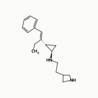 CC/C(=C\c1ccccc1)[C@@H]1C[C@H]1NCCC1CNC1